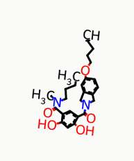 C#CCCCOc1ccc2c(c1)CN(C(=O)c1cc(C(=O)N(C)CCCC)c(O)cc1O)C2